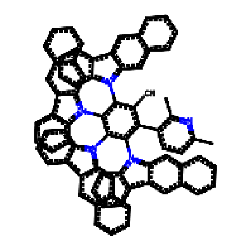 Cc1ccc(-c2c(C#N)c(-n3c4ccccc4c4cc5ccccc5cc43)c(-n3c4ccccc4c4cc5ccccc5cc43)c(-n3c4ccccc4c4cc5ccccc5cc43)c2-n2c3ccccc3c3cc4ccccc4cc32)c(C)n1